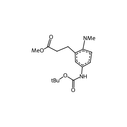 CNc1ccc(NC(=O)OC(C)(C)C)cc1CCC(=O)OC